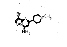 CN1CCC(c2cc(N)n3ncc(Br)c3n2)CC1